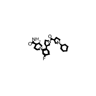 NC(=O)C1CCN(c2cc(F)ccc2C2CCN(C(=O)C3CCN(C4CCCCC4)C3)C2)CC1